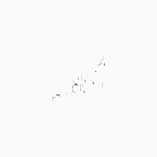 CC(C)(COC/C=C(\Cl)C(F)(F)F)COc1c(Cl)cc(OCC=C(Cl)Cl)cc1Cl